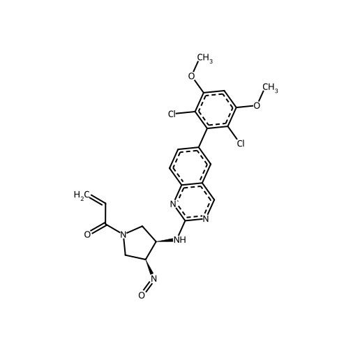 C=CC(=O)N1C[C@H](N=O)[C@H](Nc2ncc3cc(-c4c(Cl)c(OC)cc(OC)c4Cl)ccc3n2)C1